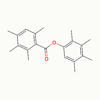 Cc1cc(OC(=O)c2c(C)cc(C)c(C)c2C)c(C)c(C)c1C